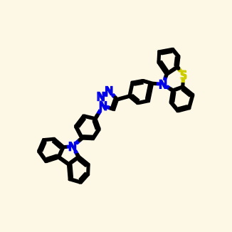 c1ccc2c(c1)Sc1ccccc1N2c1ccc(-c2cn(-c3ccc(-n4c5ccccc5c5ccccc54)cc3)nn2)cc1